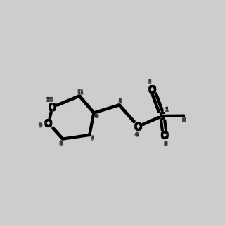 CS(=O)(=O)OCC1CCOOC1